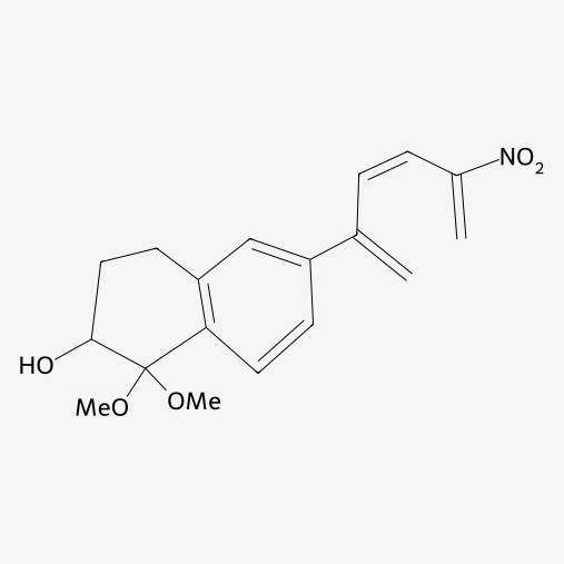 C=C(/C=C\C(=C)[N+](=O)[O-])c1ccc2c(c1)CCC(O)C2(OC)OC